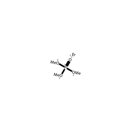 COP(=O)(OC)OC.[Er]